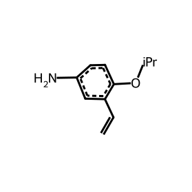 C=Cc1cc(N)ccc1OC(C)C